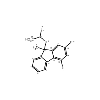 CCC(OC1(C(F)(F)F)c2ccccc2-c2c(Cl)cc(F)cc21)C(=O)O